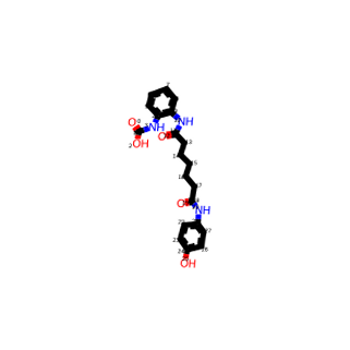 O=C(O)Nc1ccccc1NC(=O)CCCCCC(=O)Nc1ccc(O)cc1